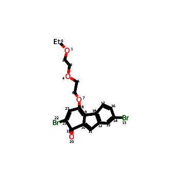 CCOCCOCCOC1=C2C(=Cc3cc(Br)ccc32)C(=O)C(Br)=C1